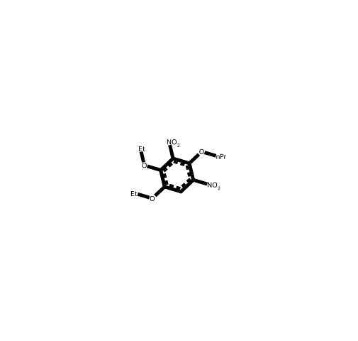 CCCOc1c([N+](=O)[O-])cc(OCC)c(OCC)c1[N+](=O)[O-]